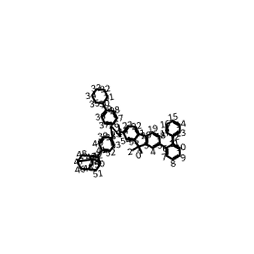 CC1(C)c2cc(-c3ccccc3-c3ccccc3)ccc2-c2ccc(N(c3ccc(C4CCCCC4)cc3)c3ccc(C4C5CC6CC(C5)CC4C6)cc3)cc21